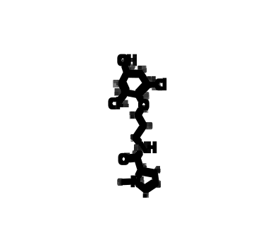 Cn1cccc1C(=O)NCCCOc1c(Cl)cc(O)cc1Cl